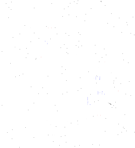 CCCC(C)(CC)C1=C(C(C)(C)C)C(=O)N(CCC(C)(C)CC(C)CCC(=O)NC(C(=O)N[C@@H](C)C(=O)Nc2ccc(CC(C)(C)C)cc2)C(C)C)C1=O